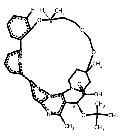 Cc1nc2cc3nn2c(c1[C@H](OC(C)(C)C)C(=O)O)N1CCC(C)(CC1)OCCCC[C@H](C)Oc1c(F)cccc1-c1cccc-3c1